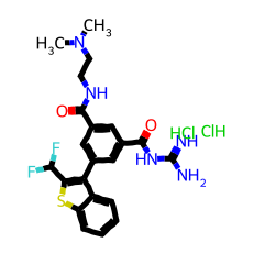 CN(C)CCNC(=O)c1cc(C(=O)NC(=N)N)cc(-c2c(C(F)F)sc3ccccc23)c1.Cl.Cl